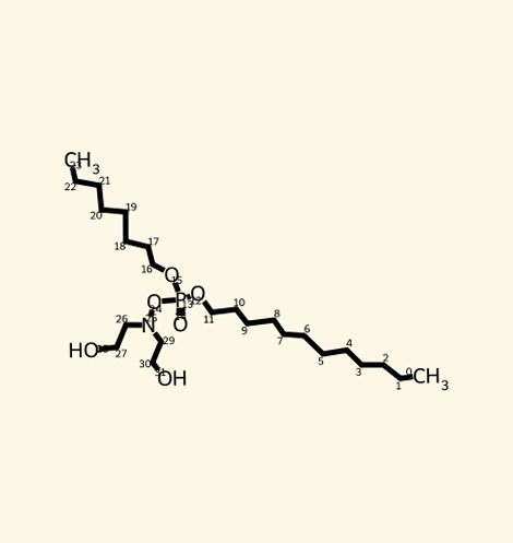 CCCCCCCCCCCCOP(=O)(OCCCCCCCC)ON(CCO)CCO